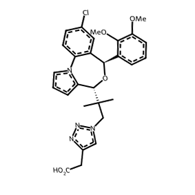 COc1cccc([C@H]2O[C@H](C(C)(C)Cn3cc(CC(=O)O)nn3)c3cccn3-c3ccc(Cl)cc32)c1OC